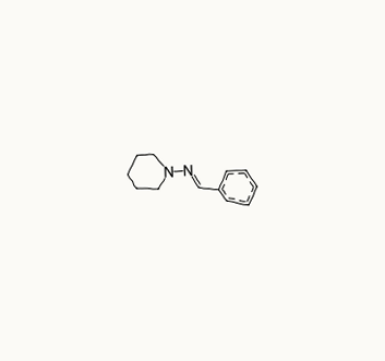 C(=NN1CCCCC1)c1ccccc1